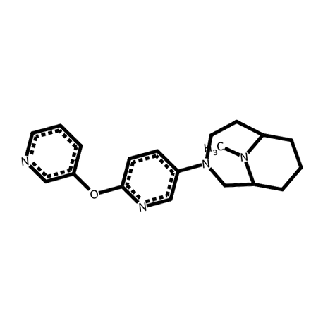 CN1C2CCCC1CN(c1ccc(Oc3cccnc3)nc1)CC2